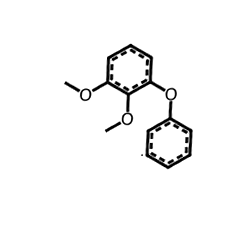 COc1cccc(Oc2c[c]ccc2)c1OC